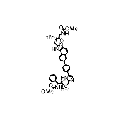 CCCN(Cc1nc2ccc3c(c2[nH]1)=CCC(c1ccc(-c2cnc(CN(CCC)C(=O)[C@H](NC(=O)OC)c4ccccc4)[nH]2)cc1)C=3)C(=O)CNC(=O)OC